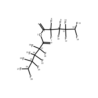 C=C(OC(=C)C(F)(F)C(F)(F)C(F)(F)C(F)F)C(F)(F)C(F)(F)C(F)(F)C(F)F